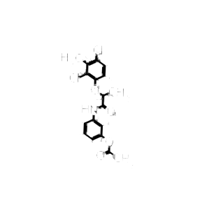 CC(=O)Oc1cccc(NC(=O)C(C)Oc2ccc(Cl)c(C)c2Cl)c1